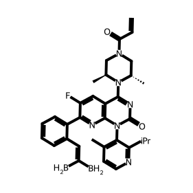 BC(B)=Cc1ccccc1-c1nc2c(cc1F)c(N1[C@@H](C)CN(C(=O)C=C)C[C@@H]1C)nc(=O)n2-c1c(C)ccnc1C(C)C